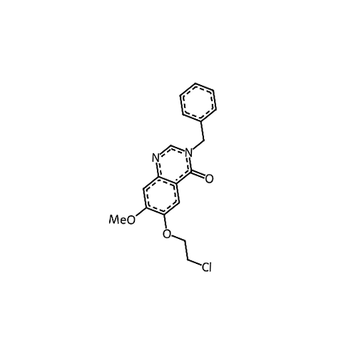 COc1cc2ncn(Cc3ccccc3)c(=O)c2cc1OCCCl